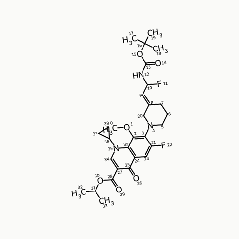 COc1c(N2CCCC(=CC(F)NC(=O)OC(C)(C)C)C2)c(F)cc2c(=O)c(C(=O)OC(C)C)cn(C3CC3)c12